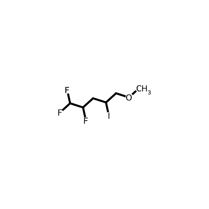 COCC(I)CC(F)C(F)F